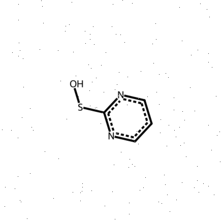 OSc1ncccn1